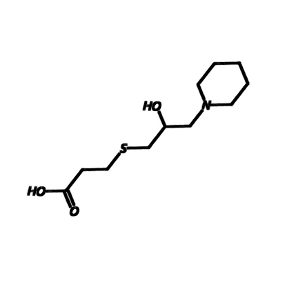 O=C(O)CCSCC(O)CN1CCCCC1